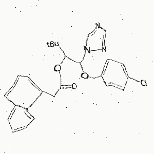 CC(C)(C)C(OC(=O)Cc1cccc2ccccc12)C(Oc1ccc(Cl)cc1)n1cncn1